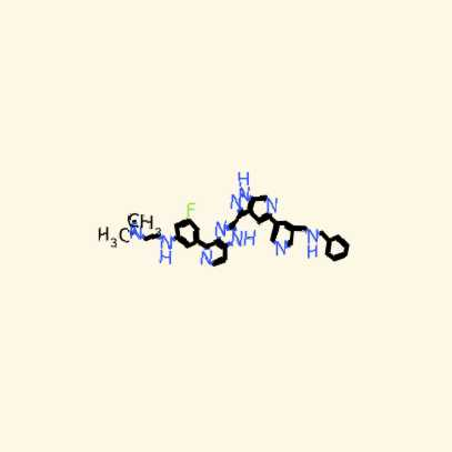 CN(C)CCNc1cc(F)cc(-c2nccc3[nH]c(-c4n[nH]c5cnc(-c6cncc(CNCc7ccccc7)c6)cc45)nc23)c1